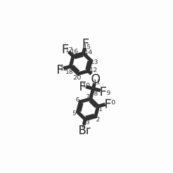 Fc1cc(Br)ccc1C(F)(F)Oc1cc(F)c(F)c(F)c1